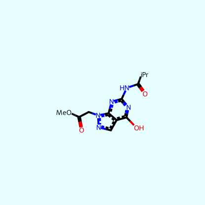 COC(=O)Cn1ncc2c(O)nc(NC(=O)C(C)C)nc21